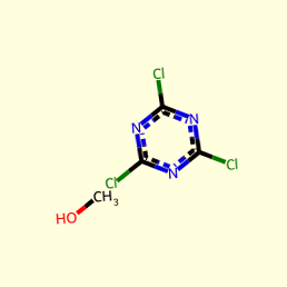 CO.Clc1nc(Cl)nc(Cl)n1